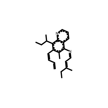 C=C/C=C\c1c(C)c(/N=C\C=C(/C)CC)c2cccnc2c1C(C)CC